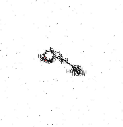 C=CC[C@@H]1/C=C(\C)C[C@@H](C)C[C@H](O)[C@H]2O[C@@](O)(C(=O)C(=O)N3CCCCC3C(=O)O[C@H](/C(C)=C/C3CC[C@@H](OC(=O)CCC(=O)NCCCCCCOC4OC(CO)C(OC5OC(CO)C(O)C(O)C5O)C(O)C4O)[C@H](OC)C3)[C@H](C)[C@H](O)CC1=O)[C@H](C)CC2C=O